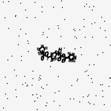 O=C(NC1CCC(COC(=O)N2CCCC2)CC1)OC(=O)c1ccncc1